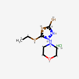 C1COCCN1.CCSc1nnc(S)s1.Cl